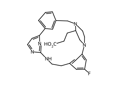 O=C(O)CCC1CN2CCN1Cc1cccc(c1)-c1ccnc(n1)NCCc1cc(F)cc2c1